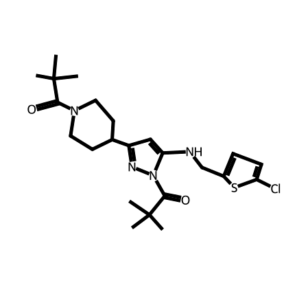 CC(C)(C)C(=O)N1CCC(c2cc(NCc3ccc(Cl)s3)n(C(=O)C(C)(C)C)n2)CC1